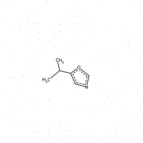 CC(C)c1[c]nco1